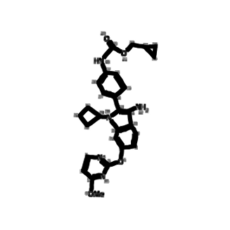 COc1ccnc(Oc2ccc3c(N)c(-c4ccc(NC(=O)OCC5CC5)cc4)n(C4CCC4)c3c2)n1